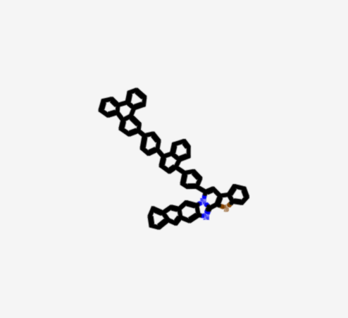 c1ccc2cc3cc4c(cc3cc2c1)nc1c2sc3ccccc3c2cc(-c2ccc(-c3ccc(-c5ccc(-c6ccc7c8ccccc8c8ccccc8c7c6)cc5)c5ccccc35)cc2)n41